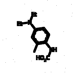 CCN(CC)c1ccc(NC(=O)O)c(C)c1